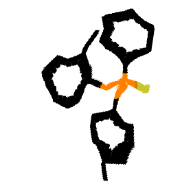 Cc1ccc(P(=S)(c2ccccc2)c2ccccc2C)cc1